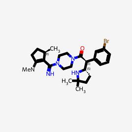 CNC1=C(C(=N)N2CCN(C(=O)[C@@H](c3cccc(Br)c3)[C@@H]3CCC(C)(C)N3)CC2)[C@H](C)CC1